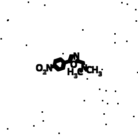 CN(C)Cc1ncc(-c2ccc([N+](=O)[O-])cc2)o1